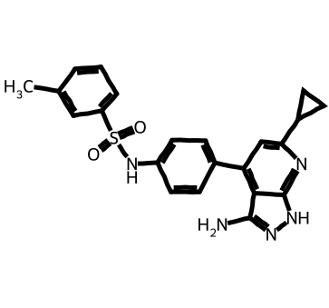 Cc1cccc(S(=O)(=O)Nc2ccc(-c3cc(C4CC4)nc4[nH]nc(N)c34)cc2)c1